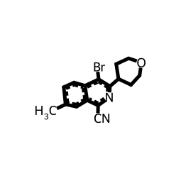 Cc1ccc2c(Br)c(C3CCOCC3)nc(C#N)c2c1